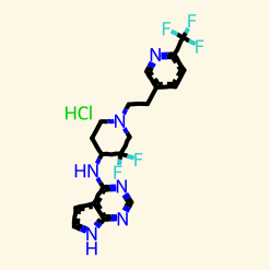 Cl.FC(F)(F)c1ccc(CCN2CCC(Nc3ncnc4[nH]ccc34)C(F)(F)C2)cn1